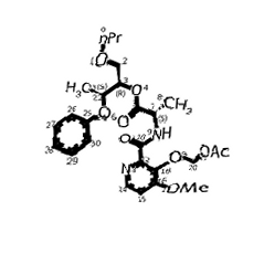 CCCOC[C@@H](OC(=O)[C@H](C)NC(=O)c1nccc(OC)c1OCOC(C)=O)[C@H](C)Oc1ccccc1